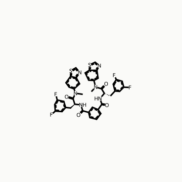 CN(C(=O)[C@H](Cc1cc(F)cc(F)c1)NC(=O)c1cccc(C(=O)N[C@@H](Cc2cc(F)cc(F)c2)C(=O)N(C)c2ccc3scnc3c2)c1)c1ccc2scnc2c1